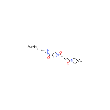 CNCCCCCCNC(=O)C1CCN(C(=O)CCCCC(=O)N2CCC(C(C)=O)CC2)CC1